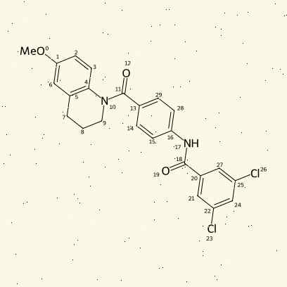 COc1ccc2c(c1)CCCN2C(=O)c1ccc(NC(=O)c2cc(Cl)cc(Cl)c2)cc1